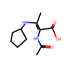 CC(=O)NC(C(=O)O)=C(C)NC1CCCC1